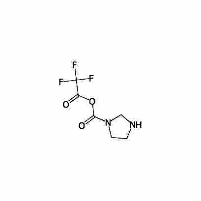 O=C(OC(=O)C(F)(F)F)N1CCNC1